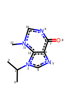 CC(C)n1cnc2c(=O)ncn(C)c21